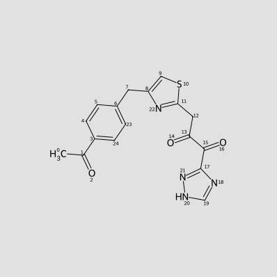 CC(=O)c1ccc(Cc2csc(CC(=O)C(=O)c3nc[nH]n3)n2)cc1